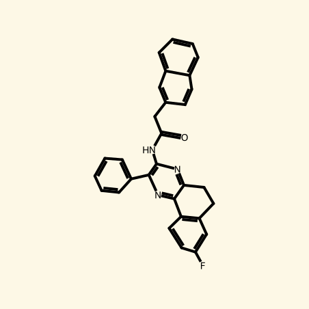 O=C(Cc1ccc2ccccc2c1)Nc1nc2c(nc1-c1ccccc1)-c1ccc(F)cc1CC2